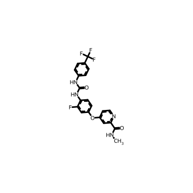 CNC(=O)c1cc(Oc2ccc(NC(=O)Nc3ccc(C(F)(F)F)cc3)c(F)c2)ccn1